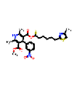 COC(=O)C1=C(C)NC(C)=C(C(=O)OC(=S)CCCCCc2nc(C)cs2)C1c1cccc([N+](=O)[O-])c1